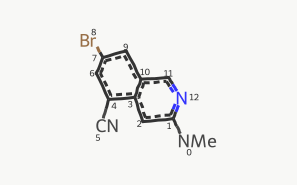 CNc1cc2c(C#N)cc(Br)cc2cn1